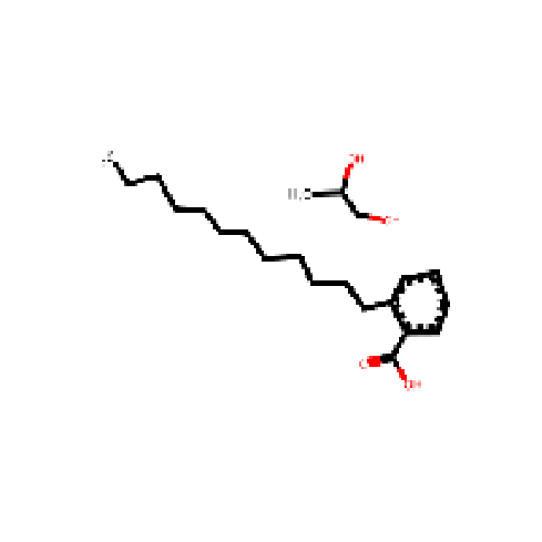 CC(O)CO.CCCCCCCCCCCCc1ccccc1C(=O)O